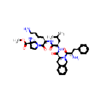 COC(=O)C1(N)CCN(C(=O)[C@@H](CCCCN)NC(=O)[C@@H](CC(C)C)NC(=O)[C@@H]2Cc3ccccc3CN2C(=O)[C@H](N)Cc2ccccc2)C1